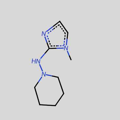 Cn1ccnc1NN1CCCCC1